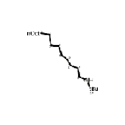 CCCCCCCCCCCCCCCCNC(C)(C)C